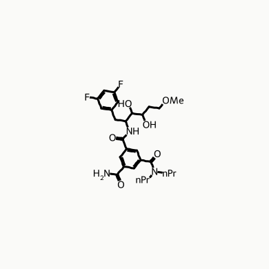 CCCN(CCC)C(=O)c1cc(C(N)=O)cc(C(=O)NC(Cc2cc(F)cc(F)c2)C(O)C(O)CCOC)c1